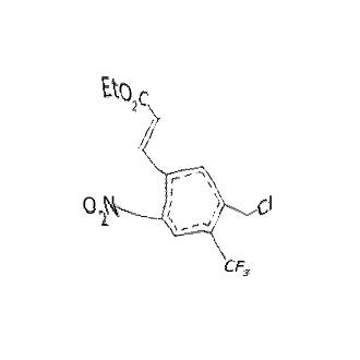 CCOC(=O)C=Cc1cc(Cl)c(C(F)(F)F)cc1[N+](=O)[O-]